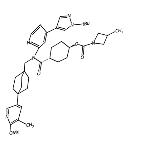 COc1ncc(C23CCC(CN(c4cc(-c5cnn(C(C)(C)C)c5)ccn4)C(=O)[C@H]4CC[C@H](OC(=O)N5CC(C)C5)CC4)(CC2)CC3)cc1C